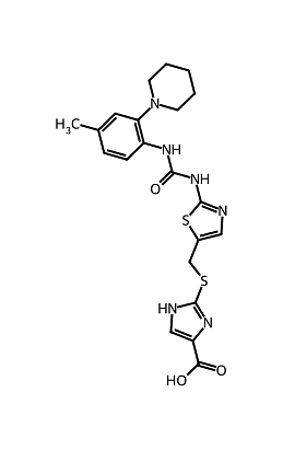 Cc1ccc(NC(=O)Nc2ncc(CSc3nc(C(=O)O)c[nH]3)s2)c(N2CCCCC2)c1